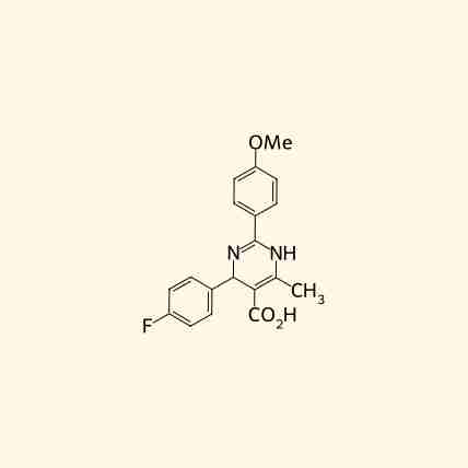 COc1ccc(C2=NC(c3ccc(F)cc3)C(C(=O)O)=C(C)N2)cc1